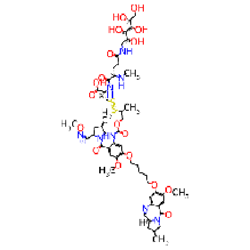 C=C1CC(/C=N\OC)N(C(=O)c2cc(OC)c(OCCCCCOc3cc4c(cc3OC)C(=O)N3CC(=C)C[C@H]3C=N4)cc2NC(=O)OCC(C)SSC[C@@H](NC(=O)[C@H](CCC(=O)NC[C@H](O)[C@@H](O)[C@H](O)[C@H](O)CO)NC)C(=O)O)C1